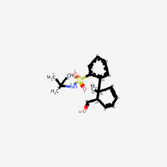 CC(C)(C)NS(=O)(=O)c1ccccc1C1(C)C=CC=CC1[C]=O